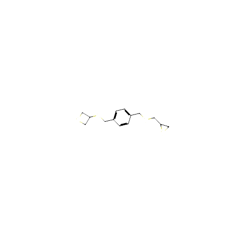 c1cc(CSC2CSC2)ccc1CSCC1CS1